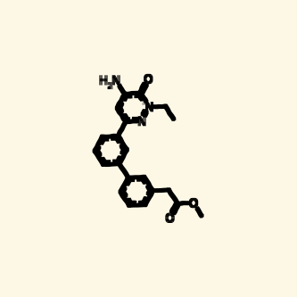 CCn1nc(-c2cccc(-c3cccc(CC(=O)OC)c3)c2)cc(N)c1=O